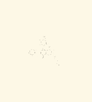 O=c1c(Cc2cccnc2)cn2c3c(cc(OCCCO)cc13)Oc1cc(Br)ccc1-2